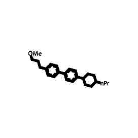 CCCC1CCC(c2ccc(-c3ccc(CCCOC)cc3)cc2)CC1